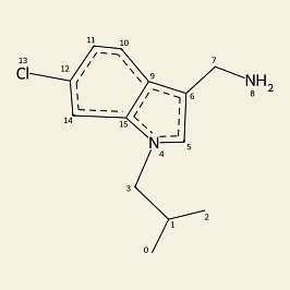 CC(C)Cn1cc(CN)c2ccc(Cl)cc21